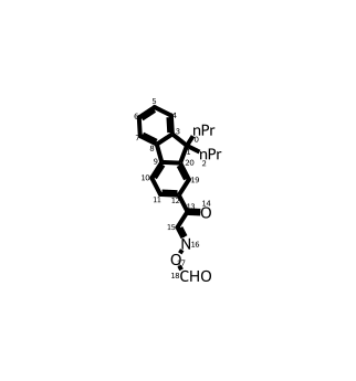 CCCC1(CCC)c2ccccc2-c2ccc(C(=O)/C=N/OC=O)cc21